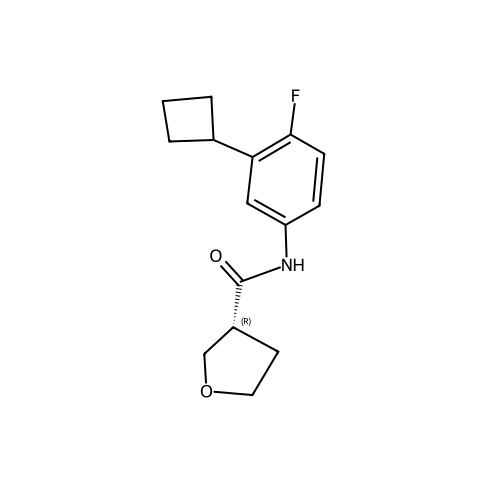 O=C(Nc1ccc(F)c(C2CCC2)c1)[C@@H]1CCOC1